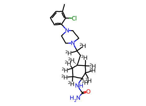 [2H]C([2H])(C[C@]1([2H])C([2H])([2H])C([2H])([2H])[C@@]([2H])(NC(N)=O)C([2H])([2H])C1([2H])[2H])N1CCN(c2cccc(C)c2Cl)CC1